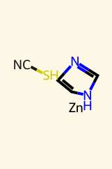 N#CS.[Zn].c1c[nH]cn1